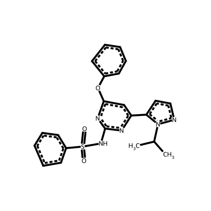 CC(C)n1nccc1-c1cc(Oc2ccccc2)nc(NS(=O)(=O)c2ccccc2)n1